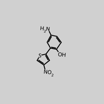 Nc1ccc(O)c(-c2cc([N+](=O)[O-])cs2)c1